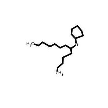 CCCCCCCC(CCCCC)OC1CCCCC1